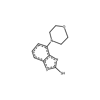 Sc1nc2c(N3CCOCC3)cccc2s1